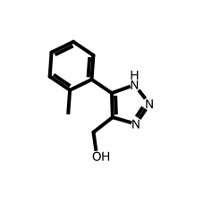 Cc1ccccc1-c1[nH]nnc1CO